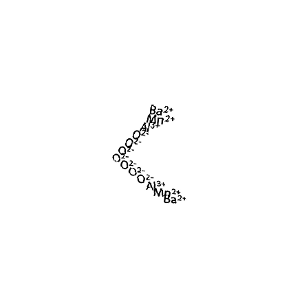 [Al+3].[Al+3].[Ba+2].[Ba+2].[Mn+2].[Mn+2].[O-2].[O-2].[O-2].[O-2].[O-2].[O-2].[O-2]